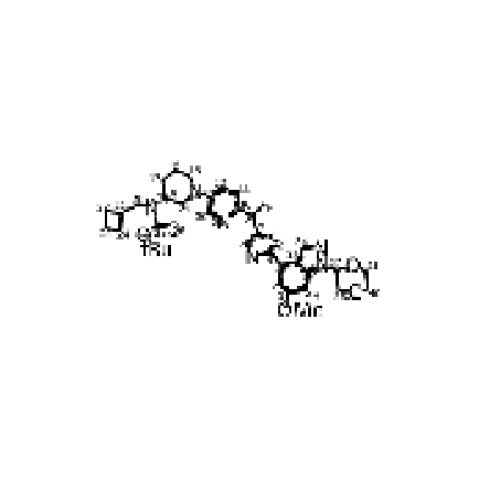 COc1cc(-c2ncc(C(C)c3ccc(N4CCC[C@@H](N(CC5CCC5)C(=O)OC(C)(C)C)C4)cn3)s2)c2cnn(C3CCCCO3)c2c1